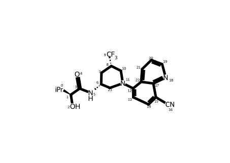 CC(C)[C@H](O)C(=O)N[C@@H]1C[C@H](C(F)(F)F)CN(c2ccc(C#N)c3ncccc23)C1